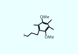 COc1c(C)c(C)c(OC)c(CCCI)c1C